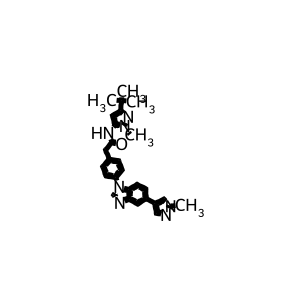 Cn1cc(-c2ccc3c(c2)ncn3-c2ccc(CC(=O)Nc3cc(C(C)(C)C)nn3C)cc2)cn1